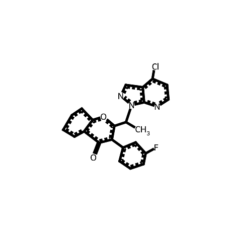 CC(c1oc2ccccc2c(=O)c1-c1cccc(F)c1)n1ncc2c(Cl)ccnc21